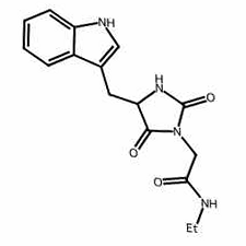 CCNC(=O)CN1C(=O)NC(Cc2c[nH]c3ccccc23)C1=O